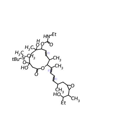 CCNC(=O)OC1/C=C/C(C)C(/C(C)=C/C=C/C(C)CC2OC2C(C)C(O)CC)OC(=O)CC(O)(O[Si](C)(C)C(C)(C)C)CCC1(C)O